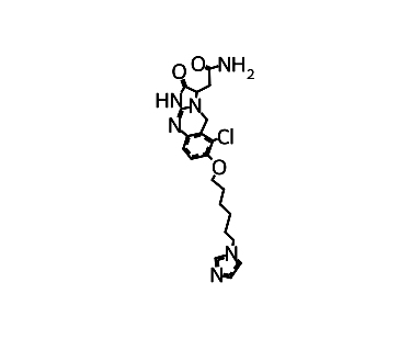 NC(=O)CC1C(=O)NC2=Nc3ccc(OCCCCCCn4ccnc4)c(Cl)c3CN21